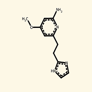 COc1cc(N)nc(CCc2ncc[nH]2)c1